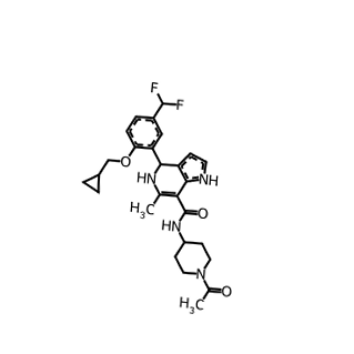 CC(=O)N1CCC(NC(=O)C2=C(C)NC(c3cc(C(F)F)ccc3OCC3CC3)c3cc[nH]c32)CC1